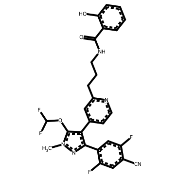 Cn1nc(-c2cc(F)c(C#N)cc2F)c(-c2ccnc(CCCNC(=O)c3ccccc3O)c2)c1OC(F)F